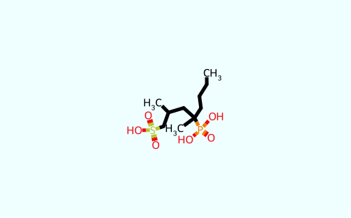 CCCCC(C)(CC(C)CS(=O)(=O)O)P(=O)(O)O